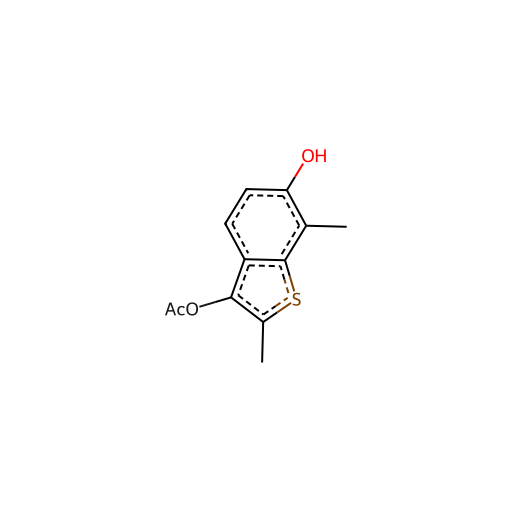 CC(=O)Oc1c(C)sc2c(C)c(O)ccc12